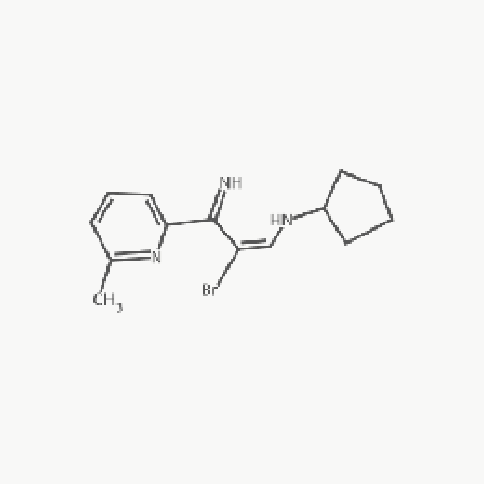 Cc1cccc(C(=N)/C(Br)=C\NC2CCCC2)n1